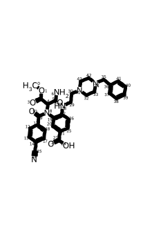 COC(=O)C(C(N)=O)N(C(=O)c1ccc(C#N)cc1)c1cc(C(=O)O)ccc1NCCN1CCN(Cc2ccccc2)CC1